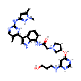 Cc1cnc(Nc2cc(C)n(C)n2)nc1-c1c[nH]c2c(NC(=O)CN3CC[C@H](Oc4cc(NCCCO)ncn4)C3)cccc12